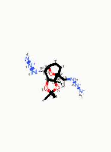 CC1(C)OC2[C@H](N=[N+]=[N-])C3CCC(CN=[N+]=[N-])(O3)[C@@H]2O1